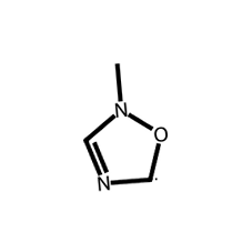 CN1C=N[CH]O1